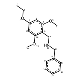 CCOc1cc(OC)c(CNCc2ccccc2)c(OC)c1